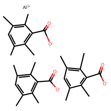 Cc1cc(C)c(C)c(C(=O)[O-])c1C.Cc1cc(C)c(C)c(C(=O)[O-])c1C.Cc1cc(C)c(C)c(C(=O)[O-])c1C.[Al+3]